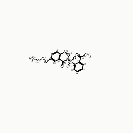 CSOOc1ccc2nnn(S(=O)(=O)c3ccccc3C(C)=O)c(=O)c2c1